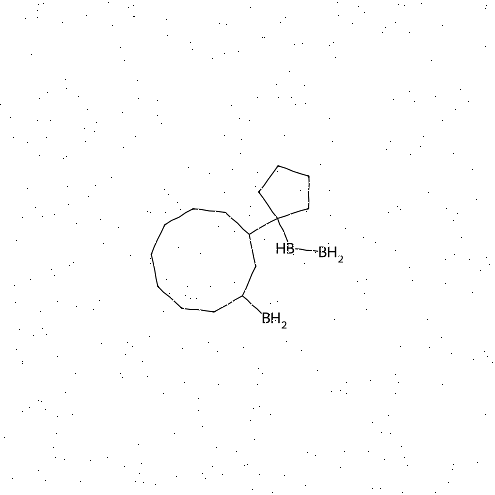 BBC1(C2CCCCCCCC(B)C2)CCCC1